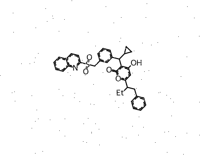 CCC(Cc1ccccc1)c1cc(O)c(C(c2cccc(CS(=O)(=O)c3ccc4ccccc4n3)c2)C2CC2)c(=O)o1